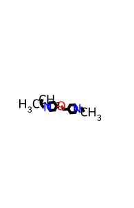 CCN1CCC(COC2CCN(CC(C)C)CC2)CC1